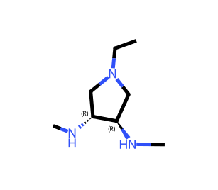 CCN1C[C@@H](NC)[C@H](NC)C1